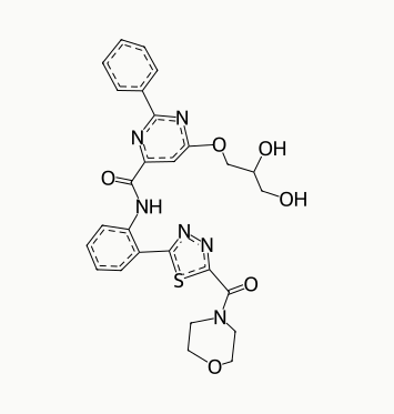 O=C(Nc1ccccc1-c1nnc(C(=O)N2CCOCC2)s1)c1cc(OCC(O)CO)nc(-c2ccccc2)n1